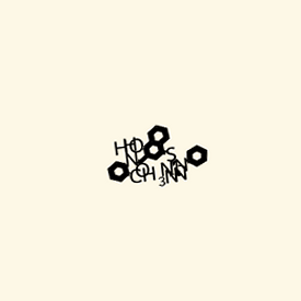 Cc1ccccc1NC(=O)c1cc(Sc2nnnn2-c2ccccc2)c2ccccc2c1O